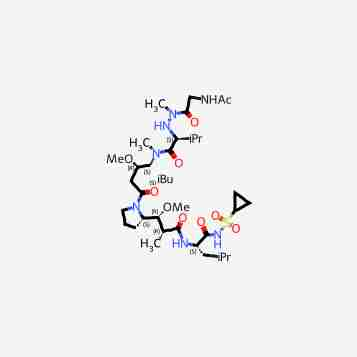 CC[C@H](C)[C@@H]([C@@H](CC(=O)N1CCC[C@H]1[C@H](OC)[C@@H](C)C(=O)N[C@@H](CC(C)C)C(=O)NS(=O)(=O)C1CC1)OC)N(C)C(=O)[C@@H](NN(C)C(=O)CNC(C)=O)C(C)C